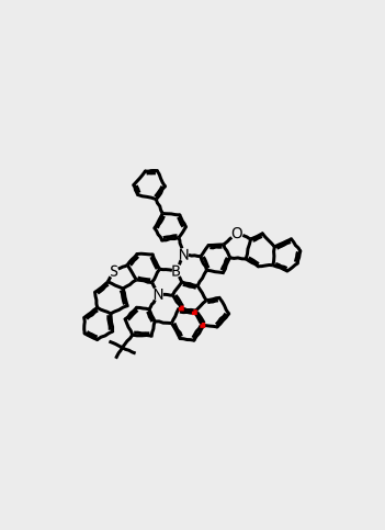 CC(C)(C)c1ccc(N2c3cc4ccccc4c4c3B(c3ccc5sc6cc7ccccc7cc6c5c32)N(c2ccc(-c3ccccc3)cc2)c2cc3oc5cc6ccccc6cc5c3cc2-4)c(-c2ccccc2)c1